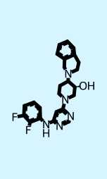 O[C@@H]1CN(c2cc(Nc3cccc(F)c3F)ncn2)CCC1N1CCc2ccccc2C1